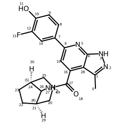 Cc1n[nH]c2nc(-c3ccc(O)c(F)c3)cc(C(=O)N3C[C@H]4CC[C@@H](C3)C4N)c12